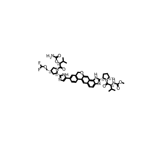 COC(=O)N[C@H](C(=O)N1[C@@H](C)CC[C@H]1c1nc2ccc3cc4c(cc3c2[nH]1)OCc1cc(-c2cnc([C@@H]3C[C@H](COC(F)F)CN3C(=O)[C@@H](OC(N)=O)C(C)C)[nH]2)ccc1-4)C(C)C